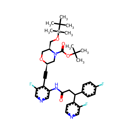 CC(C)(C)OC(=O)N1C[C@@H](C#Cc2c(F)cncc2NC(=O)CC(c2ccc(F)cc2)c2ccncc2F)OC[C@H]1CO[Si](C)(C)C(C)(C)C